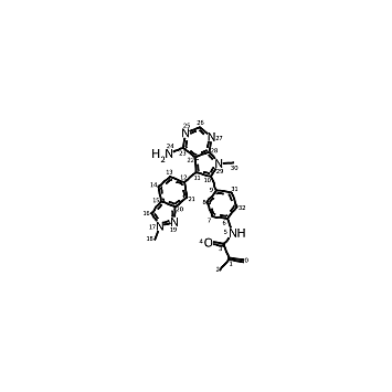 C=C(C)C(=O)Nc1ccc(-c2c(-c3ccc4cn(C)nc4c3)c3c(N)ncnc3n2C)cc1